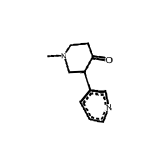 CN1CCC(=O)C(c2cccnc2)C1